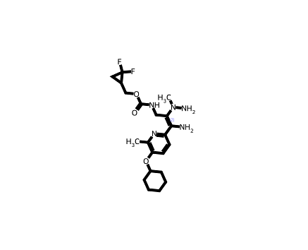 Cc1nc(/C(N)=C(\CNC(=O)OCC2CC2(F)F)N(C)N)ccc1OC1CCCCC1